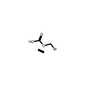 C=C.O=C(O)OCBr